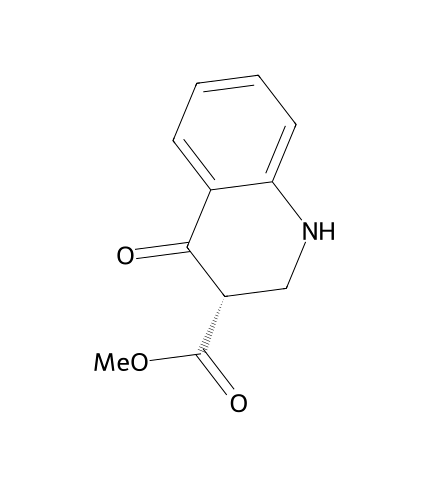 COC(=O)[C@H]1CNc2ccccc2C1=O